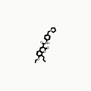 CCCc1c(OCC)ccc2cc(C(=O)Nc3ccc(CN4CCCC4)cc3)c(=O)oc12